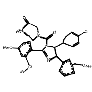 COc1cccc(C2N=C(c3ccc(OC)cc3OC(C)C)N(C(=O)N3CCNC(=O)C3)C2C2C=CC(Cl)=CC2)c1